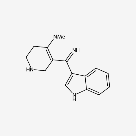 CNC1=C(C(=N)c2c[nH]c3ccccc23)CNCC1